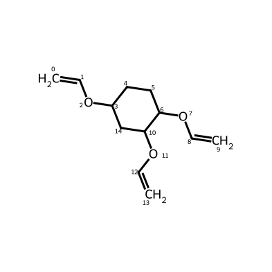 C=COC1CCC(OC=C)C(OC=C)C1